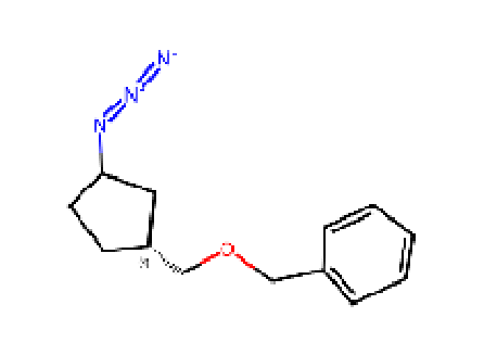 [N-]=[N+]=NC1CC[C@@H](COCc2ccccc2)C1